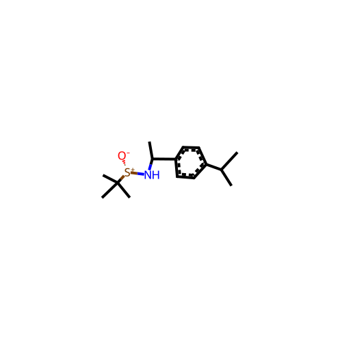 CC(C)c1ccc(C(C)N[S@@+]([O-])C(C)(C)C)cc1